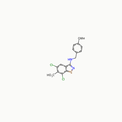 COc1ccc(CNc2nsc3c(Cl)c(C(=O)O)c(Cl)cc23)cc1